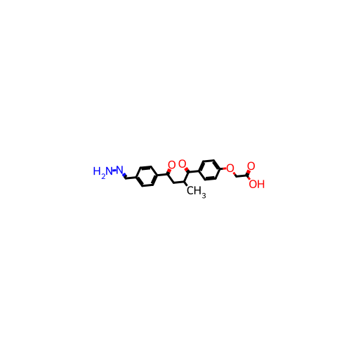 CC(CC(=O)c1ccc(C=NN)cc1)C(=O)c1ccc(OCC(=O)O)cc1